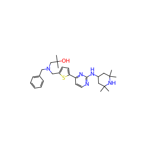 CC(C)(O)CN(Cc1ccccc1)Cc1ccc(-c2ccnc(NC3CC(C)(C)NC(C)(C)C3)n2)s1